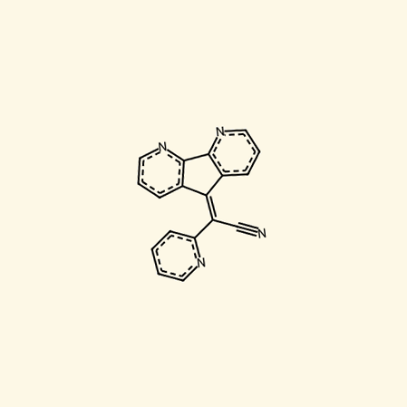 N#CC(=C1c2cccnc2-c2ncccc21)c1ccccn1